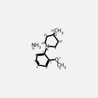 COc1ccccc1N1CCC(C)CC1.N